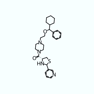 O=C([C@@H]1CSC(c2cccnc2)N1)N1CCN(CCOC(c2ccccc2)C2CCCCC2)CC1